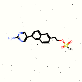 CS(=O)(=O)OCCc1ccc2cc(-c3cnc(N)nc3)ccc2c1